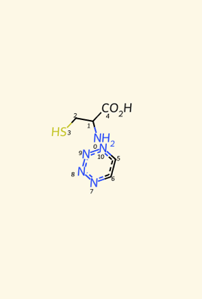 NC(CS)C(=O)O.c1cnnnn1